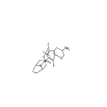 CC(C)(C)OC(=O)N1C2CCC1CN(c1cc(F)c3c(c1F)OCC(N)C3)C2